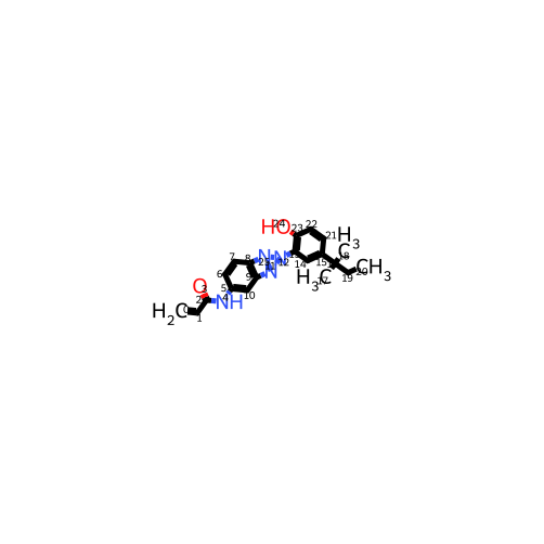 C=CC(=O)Nc1ccc2c(c1)n1n(-c3cc(C(C)(C)CC)ccc3O)n21